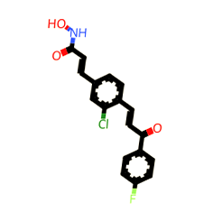 O=C(C=Cc1ccc(C=CC(=O)c2ccc(F)cc2)c(Cl)c1)NO